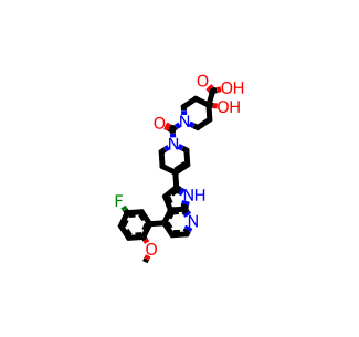 COc1ccc(F)cc1-c1ccnc2[nH]c(C3=CCN(C(=O)N4CCC(O)(C(=O)O)CC4)CC3)cc12